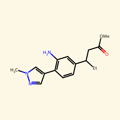 CCC(CC(=O)OC)c1ccc(-c2cnn(C)c2)c(N)c1